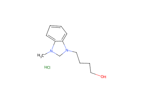 CN1CN(CCCCO)c2ccccc21.Cl